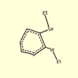 CC[Se]c1[c]cccc1[Se]CC